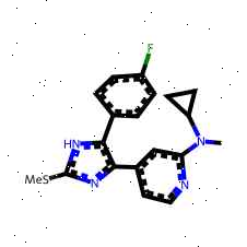 CSc1nc(-c2ccnc(N(C)C3CC3)c2)c(-c2ccc(F)cc2)[nH]1